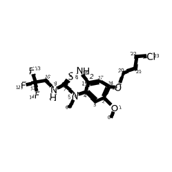 COc1cc(N(C)C(=S)NCC(F)(F)F)c(N)cc1OCCCCl